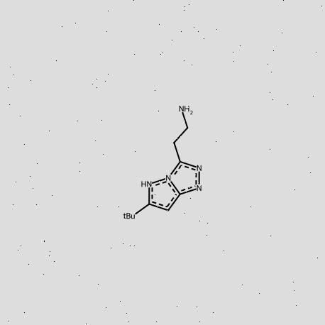 CC(C)(C)c1cc2nnc(CCN)n2[nH]1